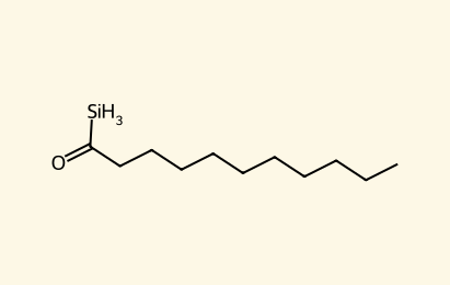 CCCCCCCCCCC(=O)[SiH3]